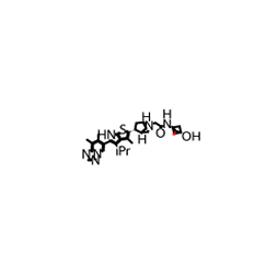 Cc1c(-c2[nH]c3sc([C@@H]4C[C@@H]5C[C@H]4CN5CC(=O)NC45CC(O)(C4)C5)c(C)c3c2C(C)C)cn2ncnc2c1C